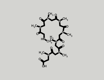 CNCC(=O)N(C)CC(=O)N(C)CC(=O)N(C)CC(=O)N(C)CC(=O)N(C)CC(=O)N(C)CC(=O)N(C)CC(=O)O